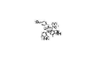 Cc1ccc(NC(=O)N(Cc2ccc(C(C)(C)C)cc2)N(C(=O)C(Cl)(Cl)Cl)c2ccc(C)c3[nH]ncc23)c2cn[nH]c12